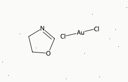 C1=NCCO1.[Cl][Au][Cl]